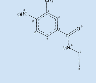 Cc1cc(C(=O)NCI)ccc1C=O